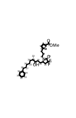 COC(=O)c1ccc(CCCN2C(=O)C(F)(F)CC2CC[C@@H](O)[C@@H](C)CCCCCc2ccccc2)s1